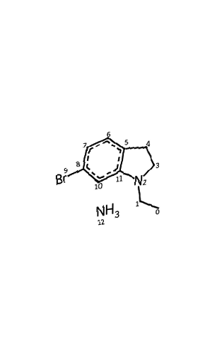 CCN1CCc2ccc(Br)cc21.N